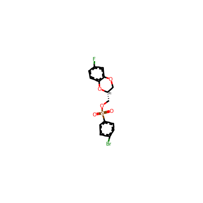 O=S(=O)(OC[C@H]1COc2cc(F)ccc2O1)c1ccc(Br)cc1